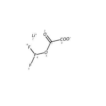 O=C([O-])C(=O)OP(F)F.[Li+]